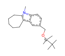 Cn1c2c(c3cc(CO[Si](C)(C)C(C)(C)C)ccc31)CCCCC2